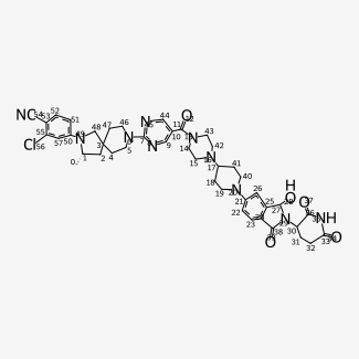 C[C@H]1CC2(CCN(c3ncc(C(=O)N4CCN(C5CCN(c6ccc7c(c6)C(O)N(C6CCC(=O)NC6=O)C7=O)CC5)CC4)cn3)CC2)CN1c1ccc(C#N)c(Cl)c1